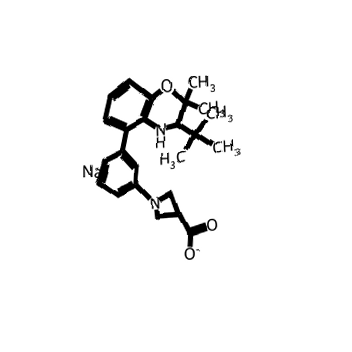 CC(C)(C)C1Nc2c(cccc2-c2cccc(N3CC(C(=O)[O-])C3)c2)OC1(C)C.[Na+]